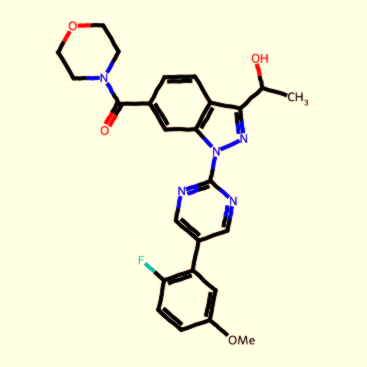 COc1ccc(F)c(-c2cnc(-n3nc(C(C)O)c4ccc(C(=O)N5CCOCC5)cc43)nc2)c1